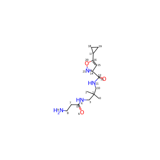 CC(C)(CNC(=O)CCN)CNC(=O)c1cc(C2CC2)on1